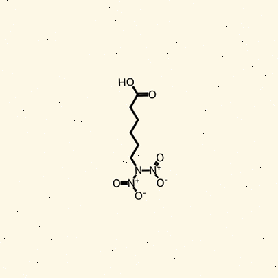 O=C(O)CCCCCN([N+](=O)[O-])[N+](=O)[O-]